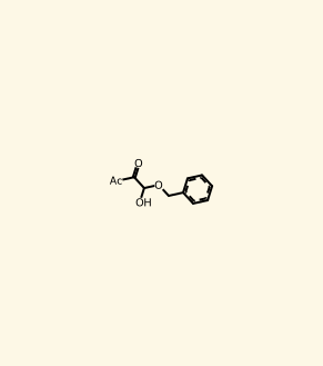 CC(=O)C(=O)C(O)OCc1ccccc1